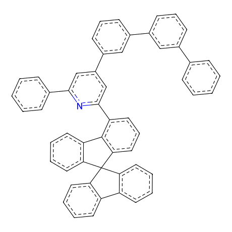 c1ccc(-c2cccc(-c3cccc(-c4cc(-c5ccccc5)nc(-c5cccc6c5-c5ccccc5C65c6ccccc6-c6ccccc65)c4)c3)c2)cc1